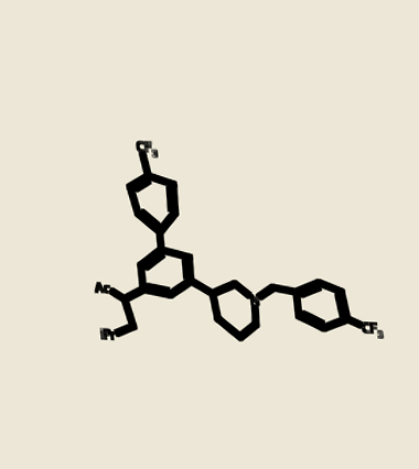 CC(=O)C(CC(C)C)c1cc(-c2ccc(C(F)(F)F)cc2)cc(C2CCCN(Cc3ccc(C(F)(F)F)cc3)C2)c1